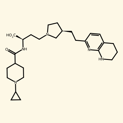 O=C(N[C@H](CCN1CC[C@@H](CCc2ccc3c(n2)NCCC3)C1)C(=O)O)C1CCN(C2CC2)CC1